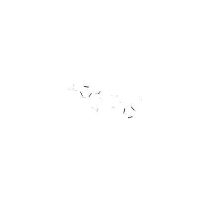 C[C@](O)(c1ccc(C(=O)N(C2CC2)[C@H]2CC[C@](CCC#N)(c3ccccc3)CC2)cc1)C(F)(F)F